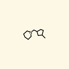 CC1CCC(CN2CCCCC2)C1